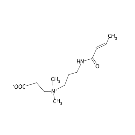 CC=CC(=O)NCCC[N+](C)(C)CCC(=O)[O-]